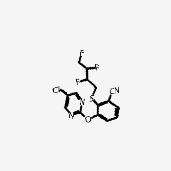 N#Cc1cccc(Oc2ncc(Cl)cn2)c1SCC(F)C(F)CF